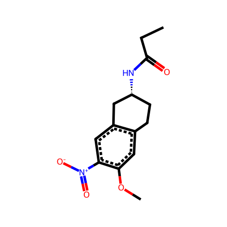 CCC(=O)N[C@@H]1CCc2cc(OC)c([N+](=O)[O-])cc2C1